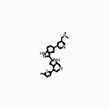 Cc1ccc(-c2cncc3[nH]c(-c4n[nH]c5ccc(-c6cncc(CN(C)C)c6)cc45)cc23)s1